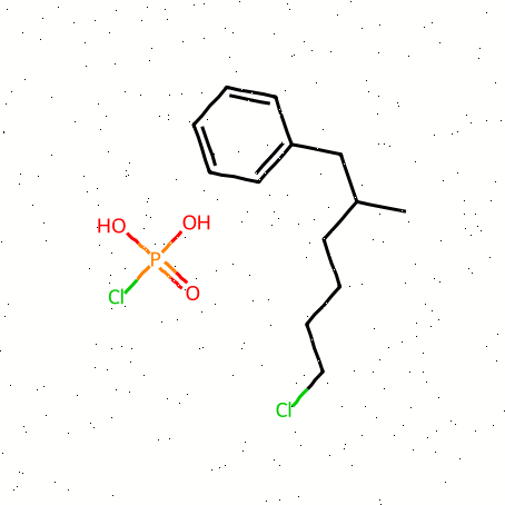 CC(CCCCCl)Cc1ccccc1.O=P(O)(O)Cl